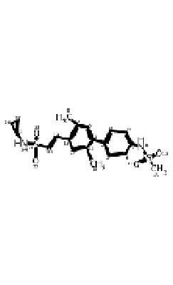 Cc1cc(-c2ccc(NS(C)(=O)=O)cc2)c(C)cc1/C=C/S(=O)(=O)NC1CC1